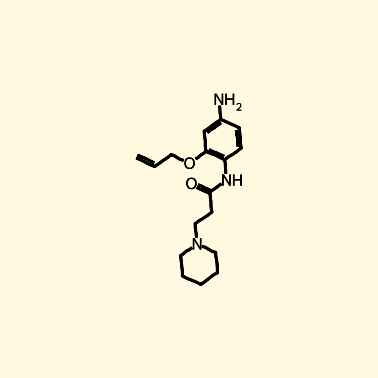 C=CCOc1cc(N)ccc1NC(=O)CCN1CCCCC1